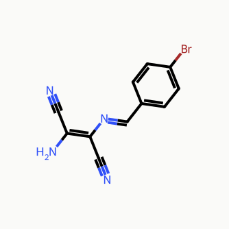 N#C/C(N)=C(C#N)\N=C\c1ccc(Br)cc1